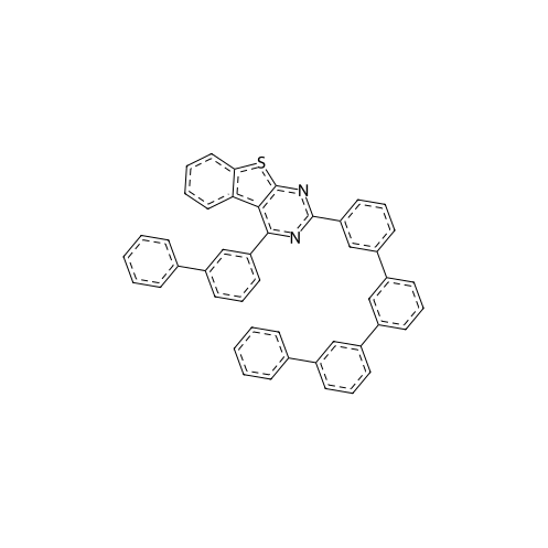 c1ccc(-c2cccc(-c3cccc(-c4cccc(-c5nc(-c6cccc(-c7ccccc7)c6)c6c(n5)sc5ccccc56)c4)c3)c2)cc1